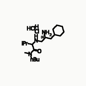 CCCCN(C)C(=O)C(NC[C@@H](N)CC1CCCCC1)C(C)C.Cl.Cl